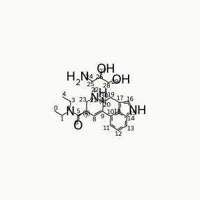 CCN(CC)C(=O)[C@@H]1C=C2c3cccc4[nH]cc(c34)C[C@H]2N(C)C1.NCC(O)CO